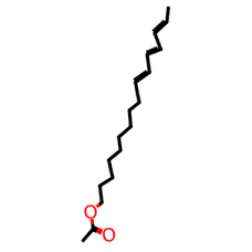 CC=CC=CC=CCCCCCCCCCOC(C)=O